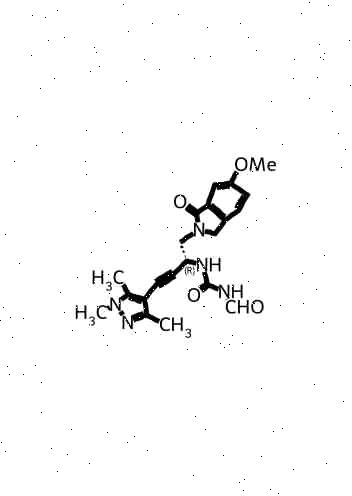 COc1ccc2c(c1)C(=O)N(C[C@@H](C#Cc1c(C)nn(C)c1C)NC(=O)NC=O)C2